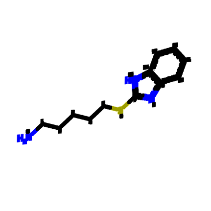 NCCCCCSc1nc2ccccc2[nH]1